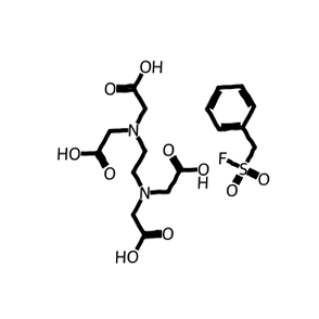 O=C(O)CN(CCN(CC(=O)O)CC(=O)O)CC(=O)O.O=S(=O)(F)Cc1ccccc1